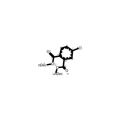 CCCCCCCCCCOC(=O)c1ccc(Cl)cc1C(=O)OCCCCCCCCCC